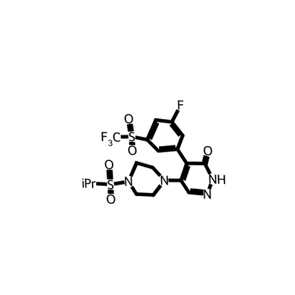 CC(C)S(=O)(=O)N1CCN(c2cn[nH]c(=O)c2-c2cc(F)cc(S(=O)(=O)C(F)(F)F)c2)CC1